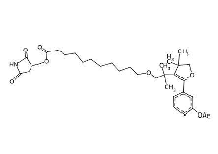 CC(=O)Oc1cccc(C2=C(C(C)(C)COCCCCCCCCCCC(=O)OC3CC(=O)NC3=O)C(C)(C)CO2)c1